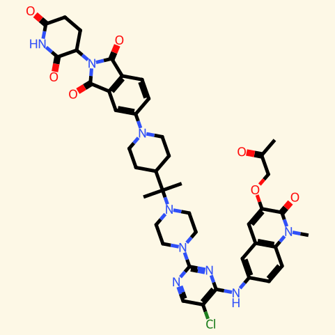 CC(=O)COc1cc2cc(Nc3nc(N4CCN(C(C)(C)C5CCN(c6ccc7c(c6)C(=O)N(C6CCC(=O)NC6=O)C7=O)CC5)CC4)ncc3Cl)ccc2n(C)c1=O